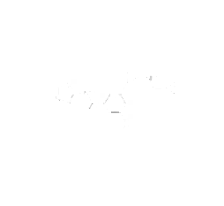 COc1cc(C(=O)Nc2nnc(C)s2)cc(C2CC2NCC2CC2)c1